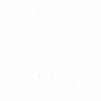 Cc1nc(N(C=O)CC(=O)O)c(O)c2ccc(Oc3ccc(C(F)(F)F)cc3)nc12